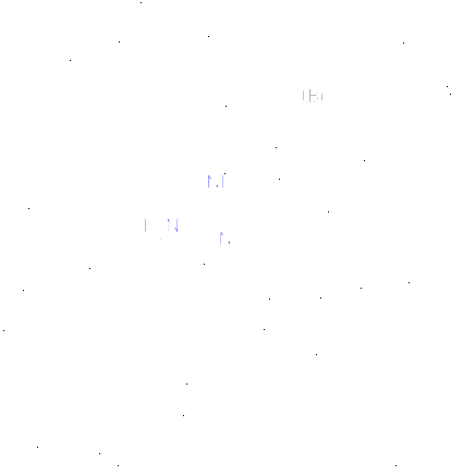 CC(C)(C)c1ccc(CN(C(=N)N)c2ccc3c(c2)CCC3)cc1